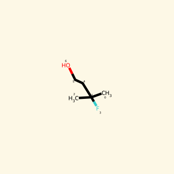 CC(C)(F)CCO